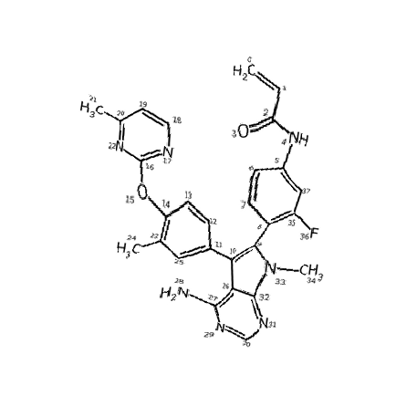 C=CC(=O)Nc1ccc(-c2c(-c3ccc(Oc4nccc(C)n4)c(C)c3)c3c(N)ncnc3n2C)c(F)c1